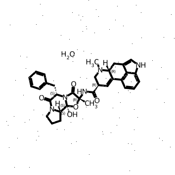 CN1C[C@H](C(=O)N[C@]2(C)O[C@@]3(O)[C@@H]4CCCN4C(=O)[C@H](Cc4ccccc4)N3C2=O)C=C2c3cccc4[nH]cc(c34)C[C@H]21.O